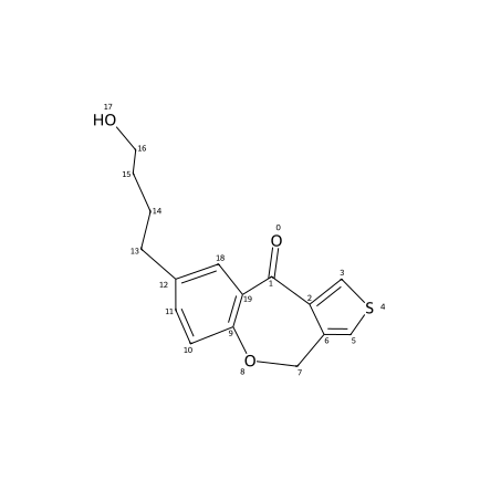 O=C1c2cscc2COc2ccc(CCCCO)cc21